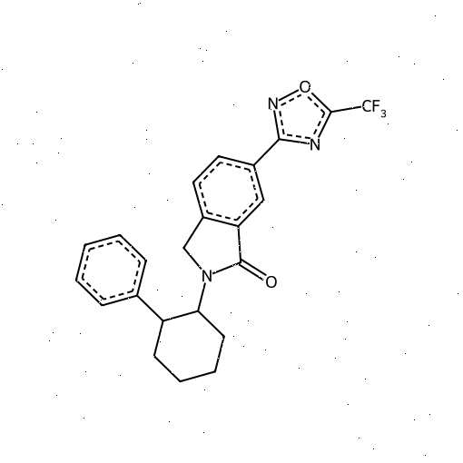 O=C1c2cc(-c3noc(C(F)(F)F)n3)ccc2CN1C1CCCCC1c1ccccc1